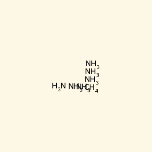 C.N.N.N.N.N.N